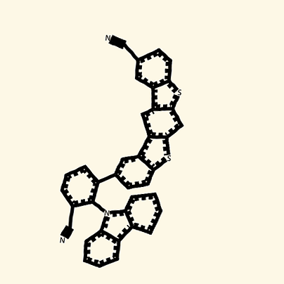 N#Cc1ccc2sc3cc4sc5ccc(-c6cccc(C#N)c6-n6c7ccccc7c7ccccc76)cc5c4cc3c2c1